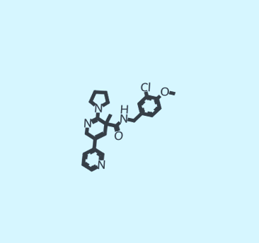 COc1ccc(CNC(=O)C2(C)C=C(c3cccnc3)CN=C2N2CCCC2)cc1Cl